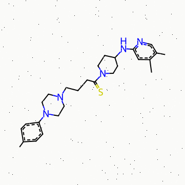 Cc1ccc(N2CCN(CCCC(=S)N3CCC(Nc4cc(C)c(C)cn4)CC3)CC2)cc1